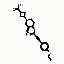 CCOc1ccc(C#CC2N=C3CCN(C4CC(C(=O)O)C4)CC3=CN2)cc1